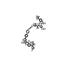 Cc1ncsc1-c1ccc([C@H](C)NC(=O)[C@@H]2C[C@@H](O)CN2C(=O)C(c2cc(OCCCCN3CCN(c4ccc(-c5cnc6[nH]cc(C(=O)c7c(F)ccc(N(N8CC[C@@H](F)C8)[SH](=O)=O)c7F)c6c5)cc4)CC3)no2)C(C)C)cc1